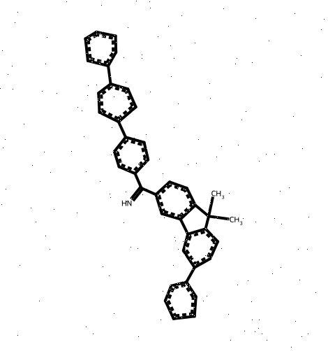 CC1(C)c2ccc(C(=N)c3ccc(-c4ccc(-c5ccccc5)cc4)cc3)cc2-c2cc(-c3ccccc3)ccc21